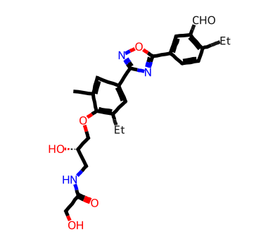 CCc1ccc(-c2nc(-c3cc(C)c(OC[C@@H](O)CNC(=O)CO)c(CC)c3)no2)cc1C=O